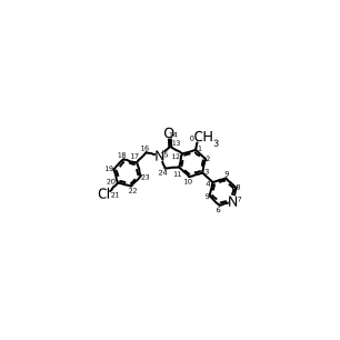 Cc1cc(-c2ccncc2)cc2c1C(=O)N(Cc1ccc(Cl)cc1)C2